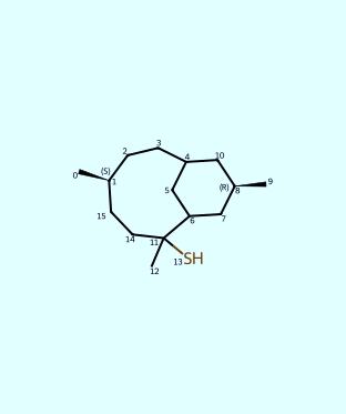 C[C@H]1CCC2CC(C[C@H](C)C2)C(C)(S)CC1